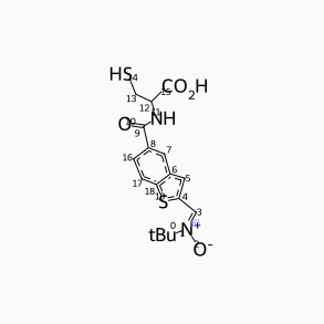 CC(C)(C)/[N+]([O-])=C\c1cc2cc(C(=O)NC(CS)C(=O)O)ccc2s1